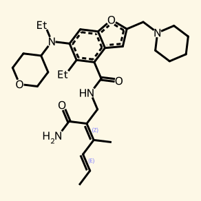 C/C=C/C(C)=C(/CNC(=O)c1c(CC)c(N(CC)C2CCOCC2)cc2oc(CN3CCCCC3)cc12)C(N)=O